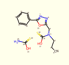 N#CCCN(Cc1nnc(-c2ccccc2)o1)C(O)=S.NC(O)=S